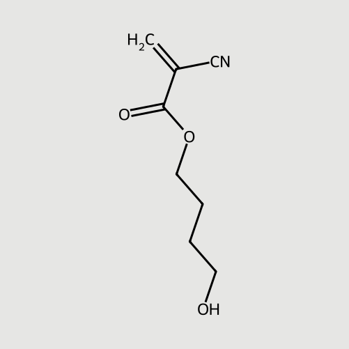 C=C(C#N)C(=O)OCCCCO